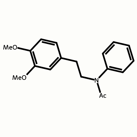 COc1ccc(CCN(C(C)=O)c2ccccc2)cc1OC